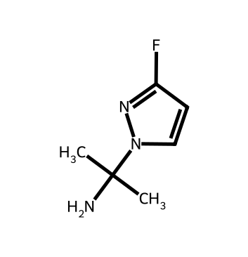 CC(C)(N)n1ccc(F)n1